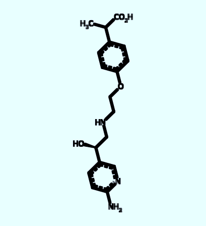 CC(C(=O)O)c1ccc(OCCNC[C@H](O)c2ccc(N)nc2)cc1